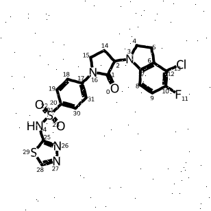 O=C1C(N2CCc3c2ccc(F)c3Cl)CCN1c1ccc(S(=O)(=O)Nc2nncs2)cc1